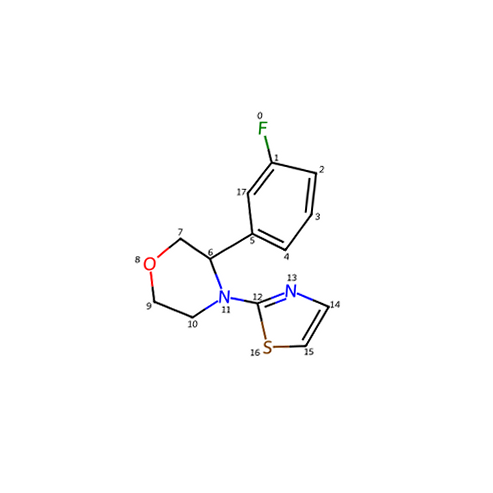 Fc1cccc(C2COCCN2c2nccs2)c1